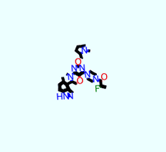 C=C(F)C(=O)N1CCN(c2nc(OCC3CCCN3C)nc3c2OCC(c2c(C)ccc4[nH]ncc24)N3C)CC1